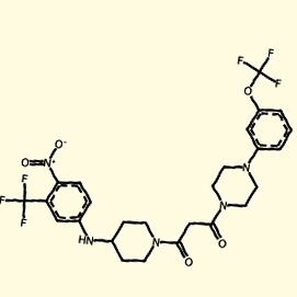 O=C(CC(=O)N1CCN(c2cccc(OC(F)(F)F)c2)CC1)N1CCC(Nc2ccc([N+](=O)[O-])c(C(F)(F)F)c2)CC1